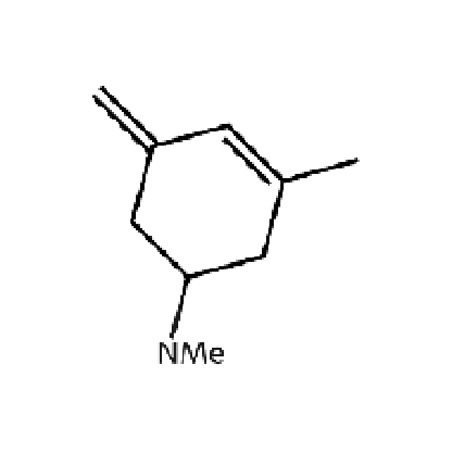 C=C1C=C(C)CC(NC)C1